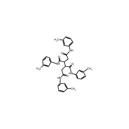 Cc1cccc(NC(=O)CC(C(=O)Nc2cccc(C)c2)C(CC(=O)Nc2cccc(C)c2)C(=O)Nc2cccc(C)c2)c1